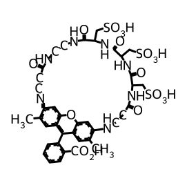 Cc1cc2c3cc1NCCC(=O)NC(CS(=O)(=O)O)C(=O)NC(CS(=O)(=O)O)C(=O)NC(CS(=O)(=O)O)C(=O)NCCNC(=O)CC/N=c1\cc(c(cc1C)=C2c1ccccc1C(=O)O)O3